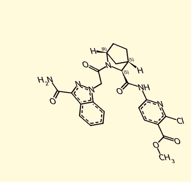 COC(=O)c1ccc(NC(=O)[C@@H]2[C@H]3CC[C@H](C3)N2C(=O)Cn2nc(C(N)=O)c3ccccc32)nc1Cl